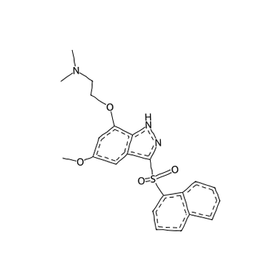 COc1cc(OCCN(C)C)c2[nH]nc(S(=O)(=O)c3cccc4ccccc34)c2c1